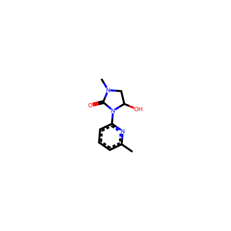 Cc1cccc(N2C(=O)N(C)CC2O)n1